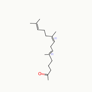 CC(=O)CCC/C(C)=C/C/C=C(/C)CCC=C(C)C